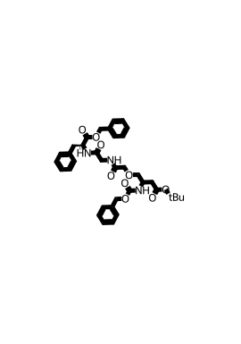 CC(C)(C)OC(=O)CC(COCC(=O)NCC(=O)N[C@@H](Cc1ccccc1)C(=O)OCc1ccccc1)NC(=O)OCc1ccccc1